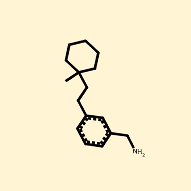 CC1(CCc2cccc(CN)c2)CCCCC1